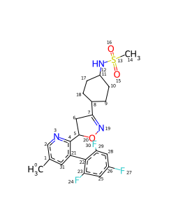 Cc1cnc(C2CC(C3CCC(NS(C)(=O)=O)CC3)=NO2)c(-c2c(F)cc(F)cc2F)c1